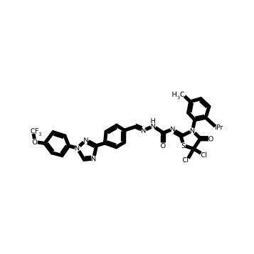 Cc1ccc(C(C)C)c(N2C(=O)C(Cl)(Cl)S/C2=N\C(=O)N/N=C/c2ccc(-c3ncn(-c4ccc(OC(F)(F)F)cc4)n3)cc2)c1